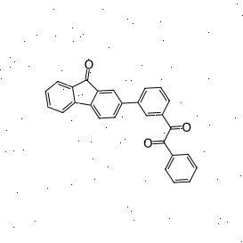 O=C(C(=O)c1cccc(-c2ccc3c(c2)C(=O)c2ccccc2-3)c1)c1ccccc1